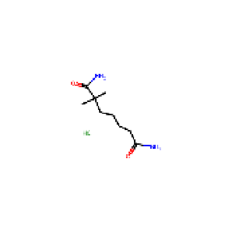 CC(C)(CCCCC(N)=O)C(N)=O.Cl